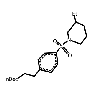 CCCCCCCCCCCCc1ccc(S(=O)(=O)N2CCCC(CC)C2)cc1